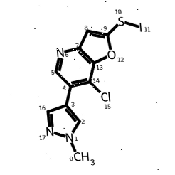 Cn1cc(-c2cnc3cc(SI)oc3c2Cl)cn1